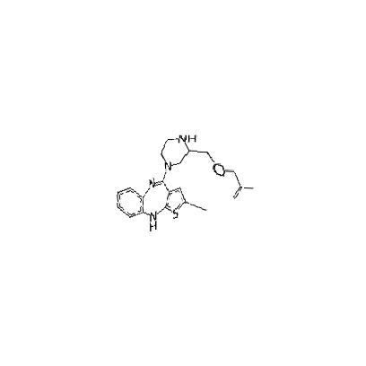 C=C(C)COCC1CN(C2=Nc3ccccc3Nc3sc(C)cc32)CCN1